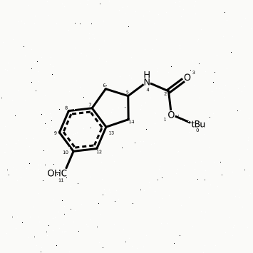 CC(C)(C)OC(=O)NC1Cc2ccc(C=O)cc2C1